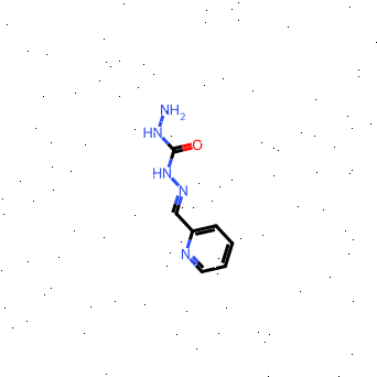 NNC(=O)NN=Cc1ccccn1